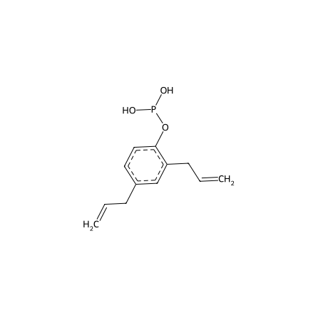 C=CCc1ccc(OP(O)O)c(CC=C)c1